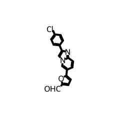 O=Cc1ccc(-c2ccc3nc(-c4ccc(Cl)cc4)cn3c2)o1